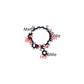 CO[C@H]1C[C@@H]2CC[C@@H](C)[C@@](O)(O2)C(O)C(=O)N2CCCC[C@H]2C(=O)O[C@H]([C@H](C)C[C@@H]2CC[C@@H](O)[C@H](OC)C2)CC(=O)[C@H](C)/C=C(\C)[C@@H](O)[C@@H](OC)C(=O)[C@H](C)C[C@H](C)/C=C/C=C/C=C/1C